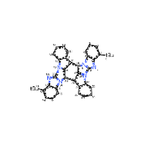 CC(C)(C)c1cccc2c1nc1n2c2c3c4ccccc4n4c3c(c3c5ccccc5n1c32)n1c2cccc(C(C)(C)C)c2nc14